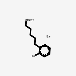 CCCCCCCCCCCCc1ccccc1O.[Ba]